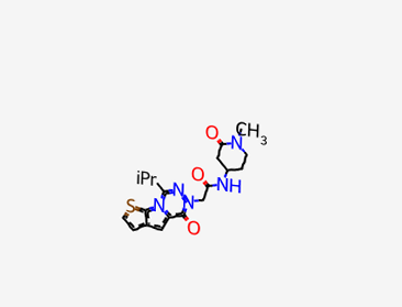 CC(C)c1nn(CC(=O)NC2CCN(C)C(=O)C2)c(=O)c2cc3ccsc3n12